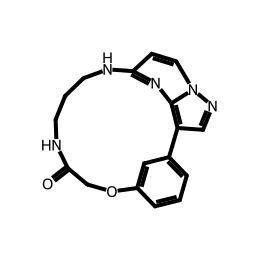 O=C1COc2cccc(c2)-c2cnn3ccc(nc23)NCCCN1